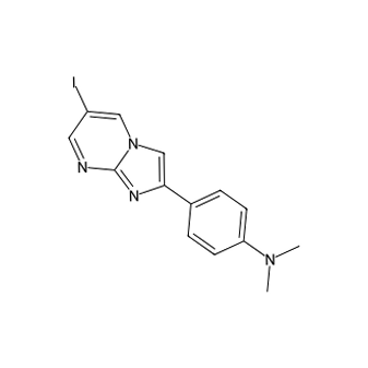 CN(C)c1ccc(-c2cn3cc(I)cnc3n2)cc1